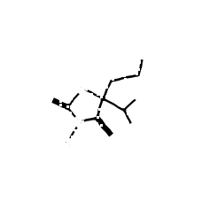 CCCC1(C(C)C)NC(=O)N(N)C1=O